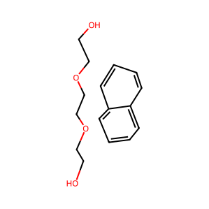 OCCOCCOCCO.c1ccc2ccccc2c1